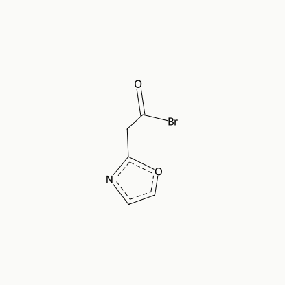 O=C(Br)Cc1ncco1